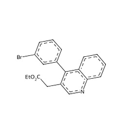 CCOC(=O)Cc1cnc2ccccc2c1-c1cccc(Br)c1